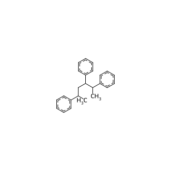 CC(CC(c1ccccc1)C(C)c1ccccc1)c1ccccc1